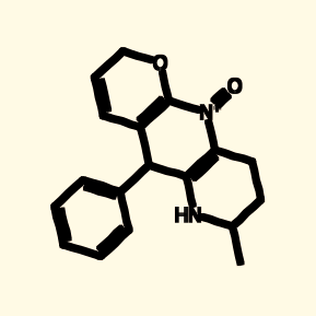 CC1CCC2=C(N1)C(c1ccccc1)C1=C(OCC=C1)[N+]2=O